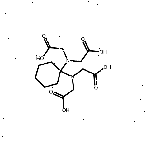 O=C(O)CN(CC(=O)O)C1(N(CC(=O)O)CC(=O)O)CCCCC1